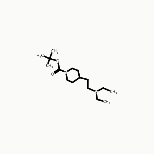 CCN(CC)CCC1CCN(C(=O)OC(C)(C)C)CC1